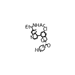 CCC(NC(C)=O)c1cc2nccc(-c3cc(Cl)cc4c3O[C@@H](C(=O)N3CCNCC3)C4)c2s1